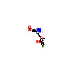 CCOC(=O)COc1ccc(C(CCCCCOc2cc(O)c(-c3ccc(F)cc3)cc2CC)c2nnn[nH]2)cc1